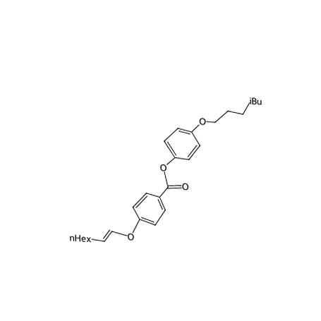 CCCCCCC=COc1ccc(C(=O)Oc2ccc(OCCCC(C)CC)cc2)cc1